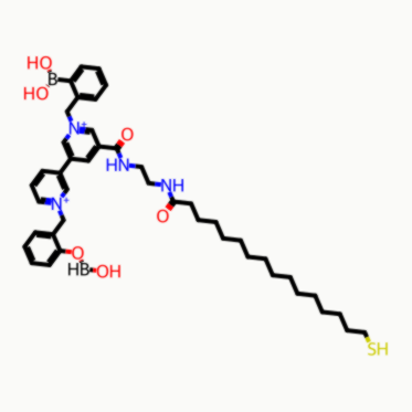 O=C(CCCCCCCCCCCCCCCS)NCCNC(=O)c1cc(-c2ccc[n+](Cc3ccccc3OBO)c2)c[n+](Cc2ccccc2B(O)O)c1